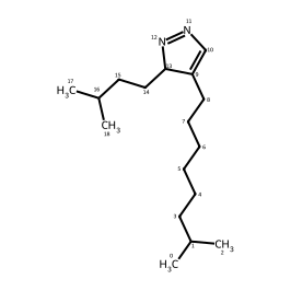 CC(C)CCCCCCC1=CN=NC1CCC(C)C